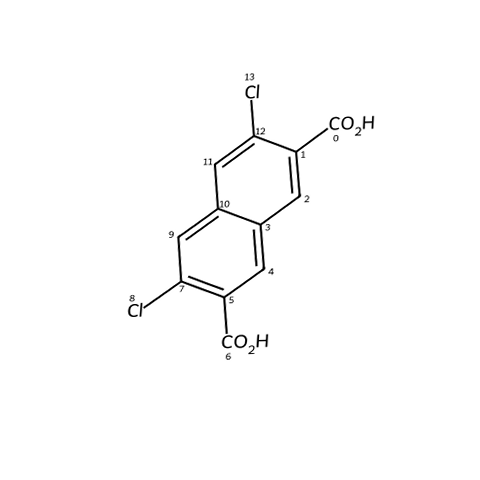 O=C(O)c1cc2cc(C(=O)O)c(Cl)cc2cc1Cl